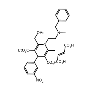 CCOC(=O)C1=C(COC(C)=O)N(CCN(C)Cc2ccccc2)C(C)=C(C(=O)O)C1c1cccc([N+](=O)[O-])c1.O=C(O)C=CC(=O)O